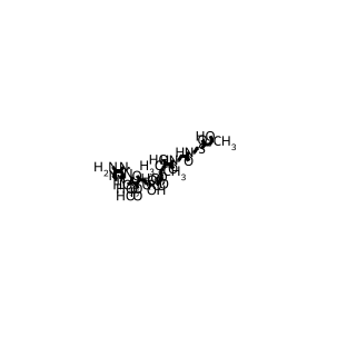 CC(O)CC(=O)SCCNC(=O)CCNC(=O)C(O)C(C)(C)COP(=O)(O)OP(=O)(O)OCC1OC(n2cnc3c(N)ncnc32)C(O)C1OP(=O)(O)O